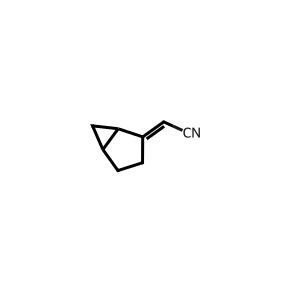 N#CC=C1CCC2CC12